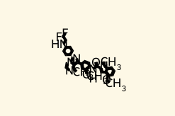 COc1cc(-c2nc([C@H]3CC[C@H](NCC(F)F)CC3)n3ccnc(C)c23)ccc1NC(=O)c1cc2c(OC)cccc2n1C